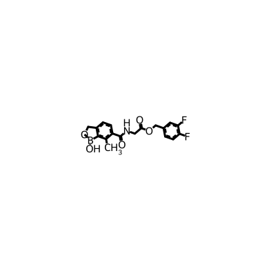 Cc1c(C(=O)NCC(=O)OCc2ccc(F)c(F)c2)ccc2c1B(O)OC2